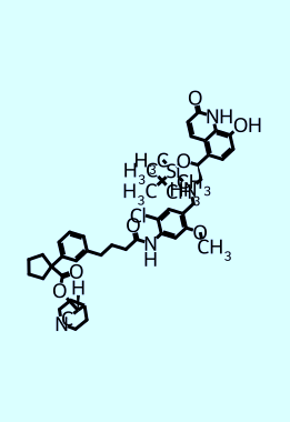 COc1cc(NC(=O)CCCc2cccc(C3(C(=O)O[C@H]4CN5CCC4CC5)CCCC3)c2)c(Cl)cc1CNC[C@@H](O[Si](C)(C)C(C)(C)C)c1ccc(O)c2[nH]c(=O)ccc12